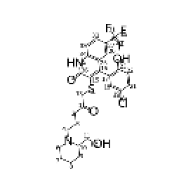 O=C(CCCN1CCCCC1CO)CSc1c(-c2cc(Cl)ccc2O)c2cc(C(F)(F)F)ccc2[nH]c1=O